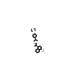 CNS(=O)(=O)c1ccc(-c2cnn3cc(-c4ccc(N5[C@H](C)CNC[C@@H]5C)cc4)cnc23)c2ccccc12